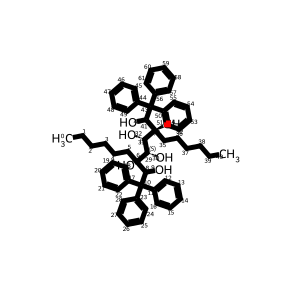 CCCCCC[C@@](O)(C(O)C(c1ccccc1)(c1ccccc1)c1ccccc1)[C@@H](O)[C@H](O)[C@@](O)(CCCCCC)C(O)C(c1ccccc1)(c1ccccc1)c1ccccc1